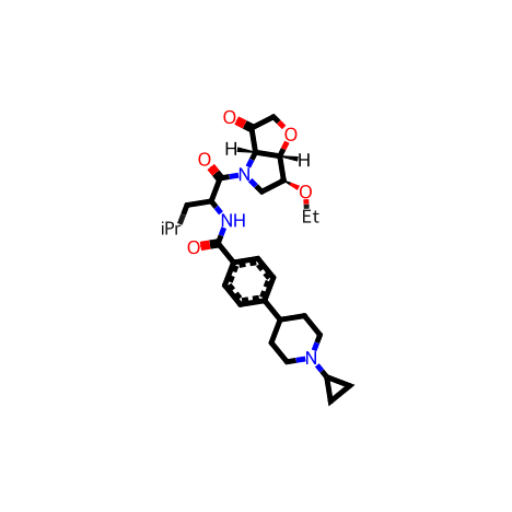 CCO[C@H]1CN(C(=O)C(CC(C)C)NC(=O)c2ccc(C3CCN(C4CC4)CC3)cc2)[C@@H]2C(=O)CO[C@H]12